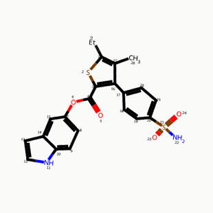 CCc1sc(C(=O)Oc2ccc3[nH]ccc3c2)c(-c2ccc(S(N)(=O)=O)cc2)c1C